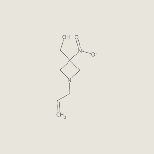 C=CCN1CC(CO)([N+](=O)[O-])C1